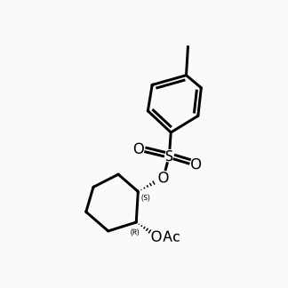 CC(=O)O[C@@H]1CCCC[C@@H]1OS(=O)(=O)c1ccc(C)cc1